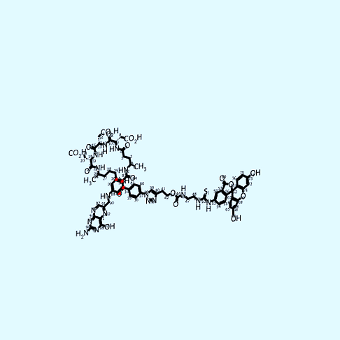 C[C@H](CCC(=O)N[C@@H](CC(=O)O)C(=O)N[C@@H](CC(=O)O)C(=O)N[C@@H](CC(=O)O)C(=O)N[C@H](C)CCCCNC(=O)c1ccc(-n2cc(CCOC(=O)NCCNC(=S)Nc3ccc4c(c3)C(=O)OC43c4ccc(O)cc4Oc4cc(O)ccc43)nn2)cc1)NC(=O)c1ccc(NCc2cnc3nc(N)nc(O)c3n2)cc1